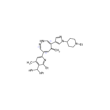 C=C1/C=C(c2cc(C)c(C(CCC)CCC)c(CC)n2)\C=N/N/C=C\1c1cnn(C2CCN(CC)CC2)c1